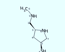 CNC[C@@H]1C[C@H](S)CN1